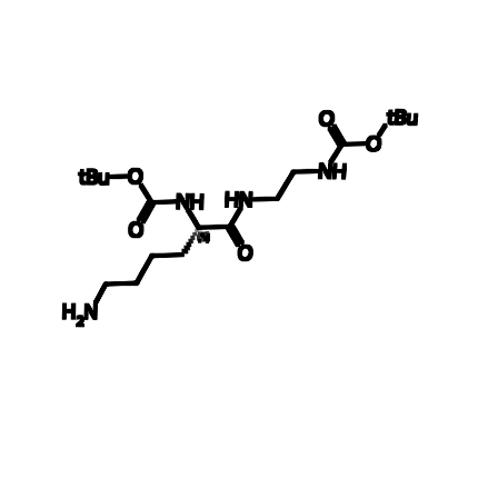 CC(C)(C)OC(=O)NCCNC(=O)[C@H](CCCCN)NC(=O)OC(C)(C)C